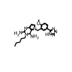 CCCCCN1C(N)=Nc2ccn(Cc3cc(-c4nnn[nH]4)ccc3OC)c2C1N